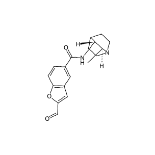 C[C@H]1[C@H](NC(=O)c2ccc3oc(C=O)cc3c2)C2CCN1CC2